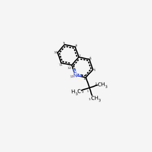 CC(C)(C)c1c[c]c2ccccc2n1